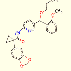 CCCOC(c1ccc(NC(=O)C2(c3ccc4c(c3)OCO4)CC2)nc1)c1ccccc1OC